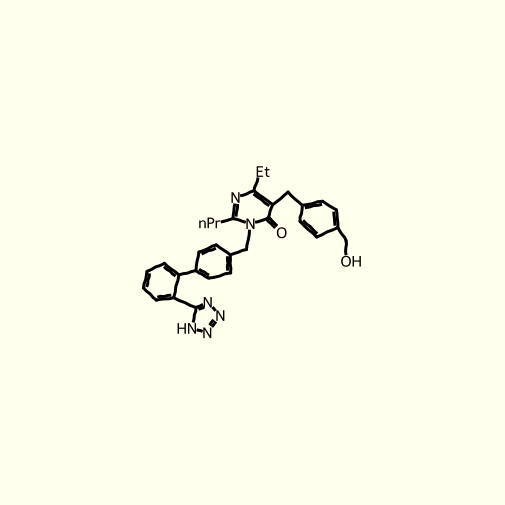 CCCc1nc(CC)c(Cc2ccc(CO)cc2)c(=O)n1Cc1ccc(-c2ccccc2-c2nnn[nH]2)cc1